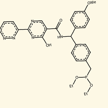 CCOP(Cc1ccc(C(NC(=O)c2cnc(-c3cccnn3)nc2O)c2ccc(OC)cc2)cc1)OCC